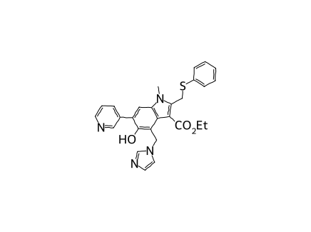 CCOC(=O)c1c(CSc2ccccc2)n(C)c2cc(-c3cccnc3)c(O)c(Cn3ccnc3)c12